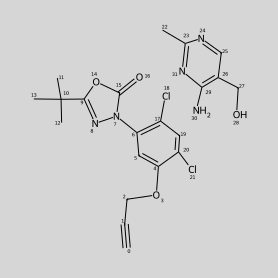 C#CCOc1cc(-n2nc(C(C)(C)C)oc2=O)c(Cl)cc1Cl.Cc1ncc(CO)c(N)n1